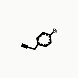 [C]#CCc1ccc(Br)cc1